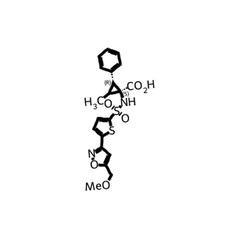 COCc1cc(-c2ccc(S(=O)(=O)N[C@@]3(C(=O)O)C(C)[C@@H]3c3ccccc3)s2)no1